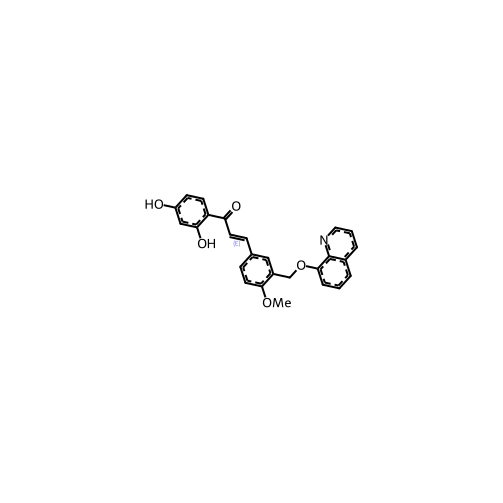 COc1ccc(/C=C/C(=O)c2ccc(O)cc2O)cc1COc1cccc2cccnc12